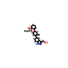 CNS(=O)(=O)c1ccccc1-c1ccc(-c2ccc3[nH]cc(CO)c3c2)c(F)c1